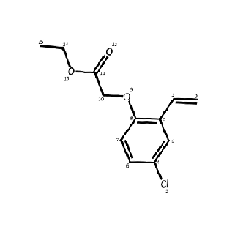 C=Cc1cc(Cl)ccc1OCC(=O)OCC